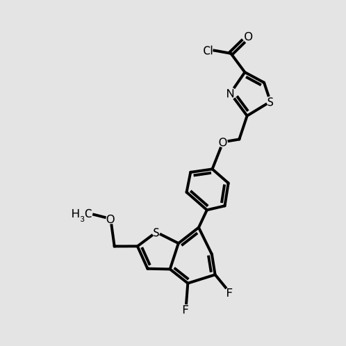 COCc1cc2c(F)c(F)cc(-c3ccc(OCc4nc(C(=O)Cl)cs4)cc3)c2s1